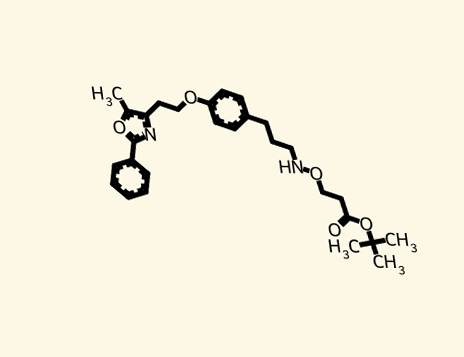 Cc1oc(-c2ccccc2)nc1CCOc1ccc(CCCNOCCC(=O)OC(C)(C)C)cc1